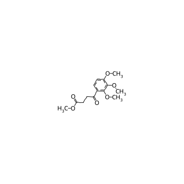 COC(=O)CCC(=O)c1ccc(OC)c(OC)c1OC